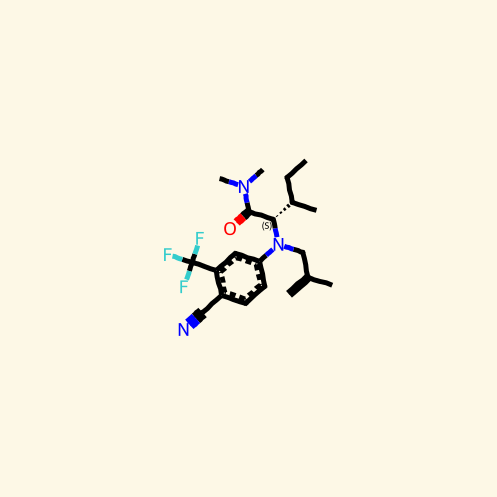 C=C(C)CN(c1ccc(C#N)c(C(F)(F)F)c1)[C@H](C(=O)N(C)C)C(C)CC